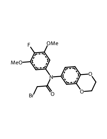 COc1cc(N(C(=O)CBr)c2ccc3c(c2)OCCO3)cc(OC)c1F